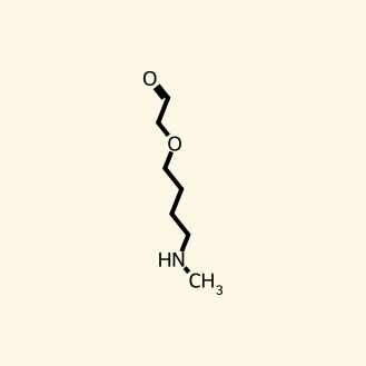 CNCCCCOCC=O